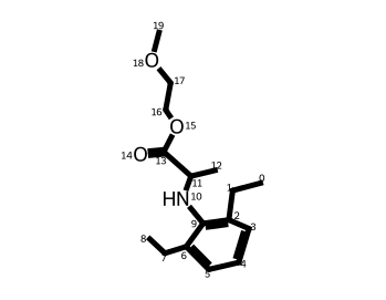 CCc1cccc(CC)c1NC(C)C(=O)OCCOC